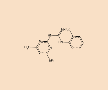 CCCc1cc(C)nc(NC(=N)Nc2ccccc2C(F)(F)F)n1